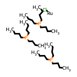 CCCCP(CCCC)CCCC.CCCCP(CCCC)CCCC.CCCCP(CCCC)CCCC.[Cl][Ru]